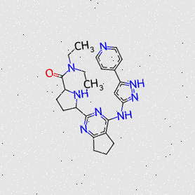 CCN(CC)C(=O)C1CCC(c2nc3c(c(Nc4cc(-c5ccncc5)[nH]n4)n2)CCC3)N1